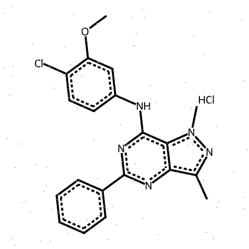 COc1cc(Nc2nc(-c3ccccc3)nc3c(C)nn(C)c23)ccc1Cl.Cl